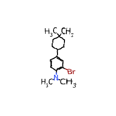 CN(C)c1ccc(C2CCC(C)(C)CC2)cc1Br